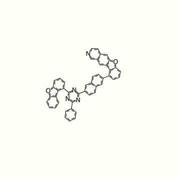 c1ccc(-c2nc(-c3ccc4cc(-c5cccc6oc7cc8ccncc8cc7c56)ccc4c3)nc(-c3cccc4oc5ccccc5c34)n2)cc1